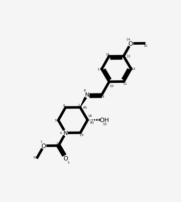 COC(=O)N1CC[C@@H](N=Cc2ccc(OC)cc2)[C@H](O)C1